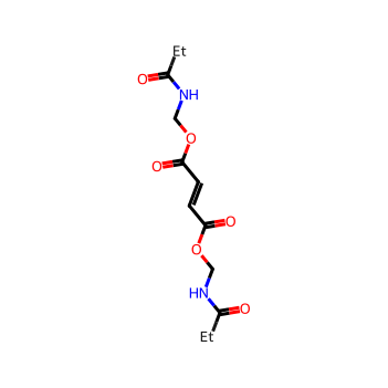 CCC(=O)NCOC(=O)/C=C/C(=O)OCNC(=O)CC